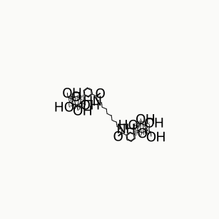 O=C(NCCCCCCCCNC(=O)c1cccc([C@H]2O[C@H](CO)[C@@H](O)[C@H](O)[C@@H]2O)c1)c1cccc([C@H]2O[C@H](CO)[C@@H](O)[C@H](O)[C@@H]2O)c1